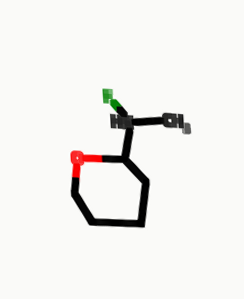 C[SiH](F)C1CCCCO1